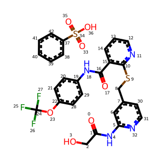 O=C(CO)Nc1cc(CSc2ncccc2C(=O)Nc2ccc(OC(F)(F)F)cc2)ccn1.O=S(=O)(O)c1ccccc1